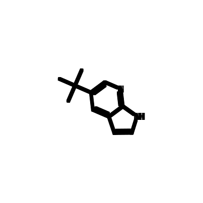 CC(C)(C)c1cnc2[nH]ccc2c1